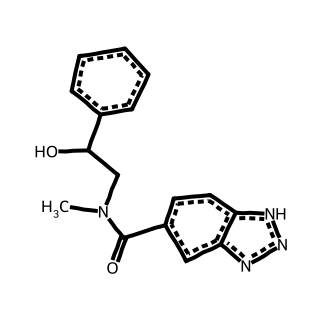 CN(CC(O)c1ccccc1)C(=O)c1ccc2[nH]nnc2c1